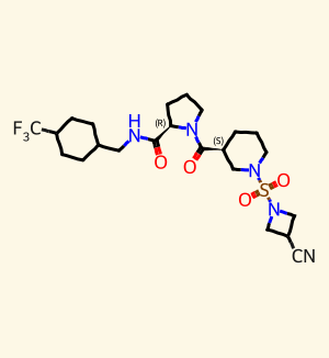 N#CC1CN(S(=O)(=O)N2CCC[C@H](C(=O)N3CCC[C@@H]3C(=O)NCC3CCC(C(F)(F)F)CC3)C2)C1